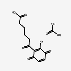 O=C(O)CCCCC(=O)C1=[C]([Na])C(=O)C=CC1=O.O=C(O)O